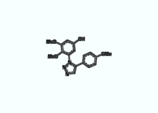 COc1ccc(-c2cnnn2-c2cc(O)cc(OC)c2OC)cc1